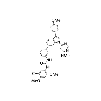 CNc1cc(-n2cc(-c3ccc(OC)cc3)c3ccc(-c4cccc(NC(=O)Nc5cc(Cl)c(OC)cc5OC)c4)cc32)ncn1